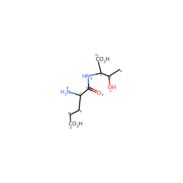 CC(O)C(NC(=O)C(N)CCC(=O)O)C(=O)O